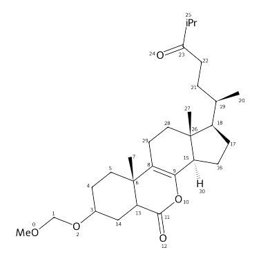 COCOC1CC[C@]2(C)C3=C(OC(=O)C2C1)[C@@H]1CC[C@H]([C@H](C)CCC(=O)C(C)C)[C@@]1(C)CC3